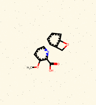 COc1cccnc1C(=O)O.c1ccc2c(c1)CO2